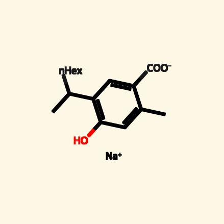 CCCCCCC(C)c1cc(C(=O)[O-])c(C)cc1O.[Na+]